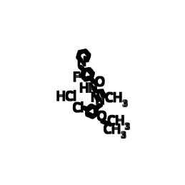 Cc1cc(NC(=O)c2ccc(CN3CCCCC3)c(F)c2)nn1Cc1cc(Cl)ccc1OCC(C)C.Cl